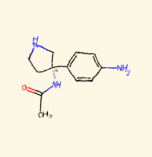 CC(=O)N[C@]1(c2ccc(N)cc2)CCNC1